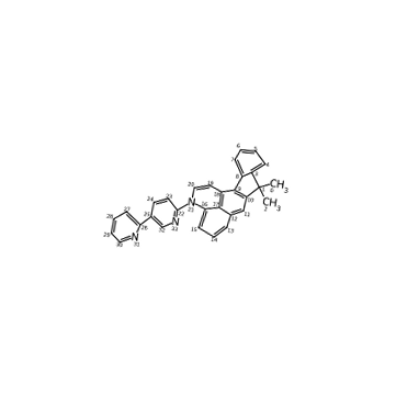 CC1(C)c2ccccc2-c2c1cc1cccc3c1c2C=CN3c1ccc(-c2ccccn2)cn1